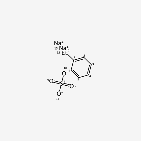 CCc1ccccc1.O=S(=O)([O-])[O-].[Na+].[Na+]